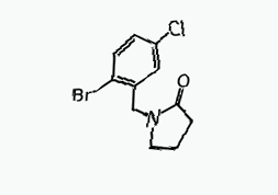 O=C1CCCN1Cc1cc(Cl)ccc1Br